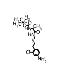 CC(NC(=O)OC(C)(C)C)C(=O)NCSCCc1ccc(N)cc1Cl